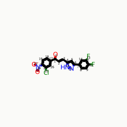 O=C(/C=C/c1cc(-c2ccc(F)c(F)c2)n[nH]1)c1ccc([N+](=O)[O-])c(Cl)c1